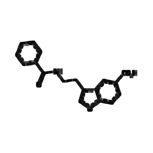 O=C(O)c1ccc2occ(CCNC(=O)c3ccccc3)c2c1